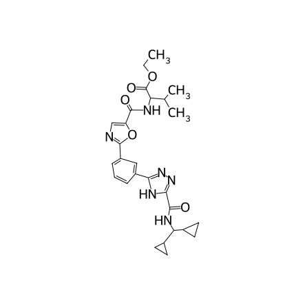 CCOC(=O)C(NC(=O)c1cnc(-c2cccc(-c3nnc(C(=O)NC(C4CC4)C4CC4)[nH]3)c2)o1)C(C)C